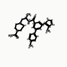 CC(=O)N1CCN(C[C@@H](C)NC(=O)c2cc(-c3ccc(C)cc3)cc(-c3scnc3C)c2)CC1